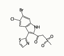 CS(=O)(=O)CC(=O)c1[nH]c2cc(Br)c(Cl)cc2c1-c1nccs1